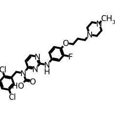 CN1CCN(CCCOc2ccc(Nc3nccc(N(Cc4cc(Cl)ccc4Cl)C(=O)O)n3)cc2F)CC1